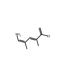 C=C(CC)/C(C)=C/C(C)=C\N